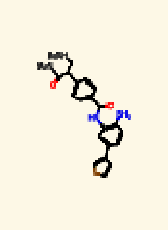 CNC(=O)C(CNC(C)=O)c1ccc(C(=O)Nc2cc(-c3ccsc3)ccc2N)cc1